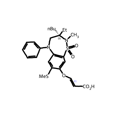 CCCC[C@@]1(CC)CN(c2ccccc2)c2cc(SC)c(O/C=C/C(=O)O)cc2S(=O)(=O)N1C